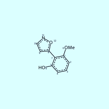 COc1cccc(O)c1-c1ccno1